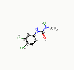 CN(Cl)C(=O)Nc1ccc(Cl)c(Cl)c1